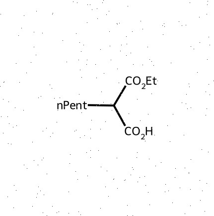 CCCCCC(C(=O)O)C(=O)OCC